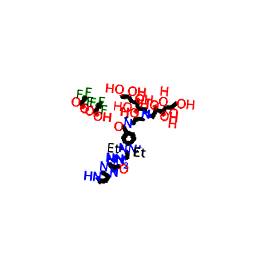 CCn1c(CNC(=O)c2nc3cc[nH]c3nc2N)[n+](CC)c2ccc(C(=O)N(C)CCCN(CC(O)C(O)C(O)C(O)CO)CC(O)C(O)C(O)C(O)CO)cc21.O=C(O)C(F)(F)F.O=C([O-])C(F)(F)F